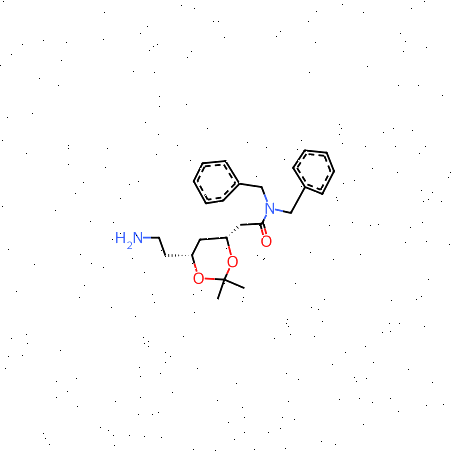 CC1(C)O[C@H](CCN)C[C@H](CC(=O)N(Cc2ccccc2)Cc2ccccc2)O1